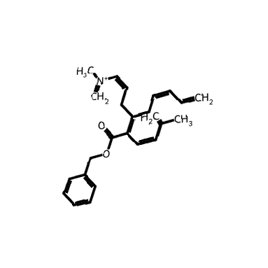 C=C/C=C\C/C(C/C=C\[N+](=C)C)=C(\C=C/C(=C)C)C(=O)OCc1ccccc1